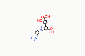 NCc1cccc(NCc2cc(C(=O)O)cc(-c3ccc(C(=O)O)c(O)c3)c2)c1